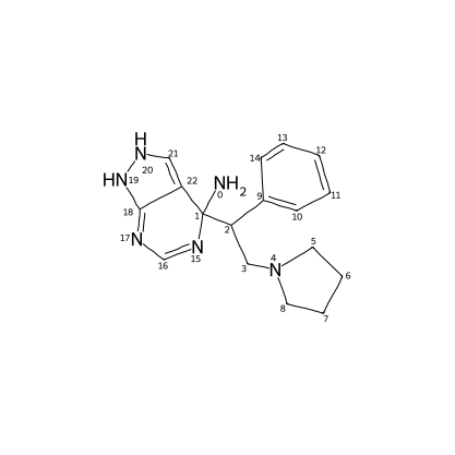 NC1(C(CN2CCCC2)c2ccccc2)N=CN=C2NNC=C21